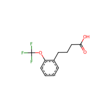 O=C(O)CCCc1c[c]ccc1OC(F)(F)F